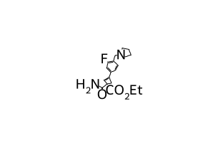 CCOC(=O)C1(C(N)=O)C=C(c2ccc(CN3CCCC3)c(F)c2)C1